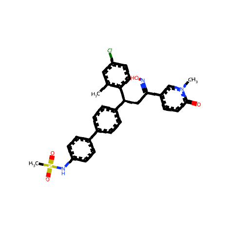 Cc1cc(Cl)ccc1C(C/C(=N\O)c1ccc(=O)n(C)c1)c1ccc(-c2ccc(NS(C)(=O)=O)cc2)cc1